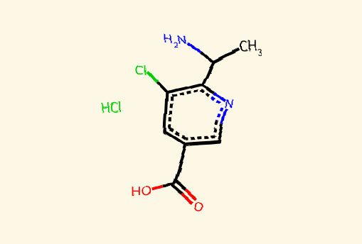 CC(N)c1ncc(C(=O)O)cc1Cl.Cl